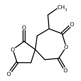 CCC1CC2(CC(=O)OC1=O)CC(=O)OC2=O